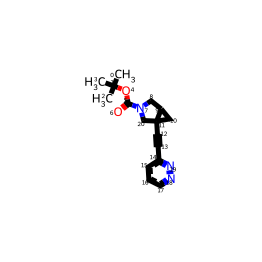 CC(C)(C)OC(=O)N1CC2CC2(C#Cc2cccnn2)C1